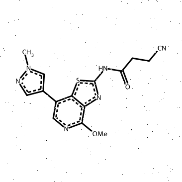 COc1ncc(-c2cnn(C)c2)c2sc(NC(=O)CCC#N)nc12